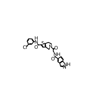 O=C(NCC(=O)N1CCc2sc(C(=O)Nc3cccc(Cl)c3)cc2C1)c1ccc2[nH]ncc2c1